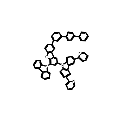 c1ccc(-c2ccc(-c3cccc(-c4ccc5oc6c(-n7c8ccccc8c8ccccc87)cc(-n7c8ccc(-c9ccccn9)cc8c8cc(-c9ccccn9)ccc87)cc6c5c4)c3)cc2)cc1